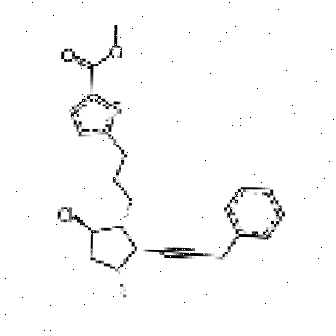 COC(=O)c1ccc(CCC[C@@H]2[C@@H](C#CCc3ccccc3)[C@H](C)C[C@H]2Cl)s1